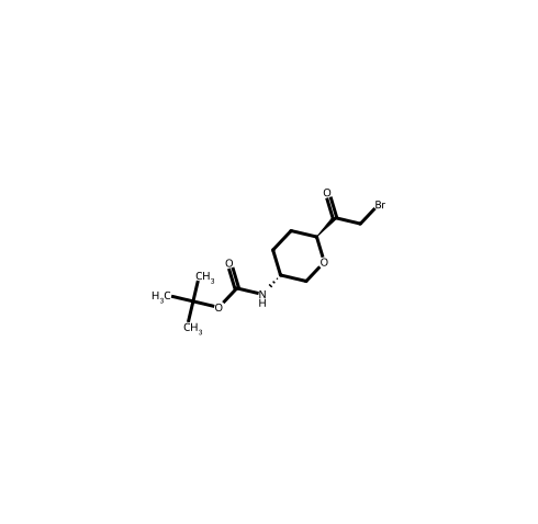 CC(C)(C)OC(=O)N[C@@H]1CC[C@@H](C(=O)CBr)OC1